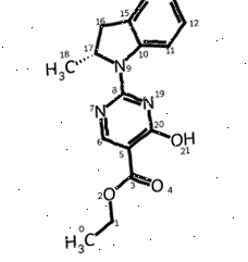 CCOC(=O)c1cnc(N2c3ccccc3C[C@H]2C)nc1O